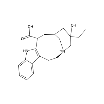 CCC1(O)CC2CC(C(=O)O)c3[nH]c4ccccc4c3CC[N@@](C2)C1